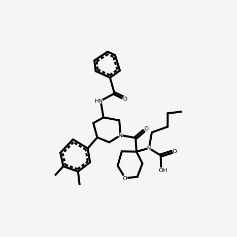 CCCCN(C(=O)O)C1(C(=O)N2CC(NC(=O)c3ccccc3)CC(c3ccc(C)c(C)c3)C2)CCOCC1